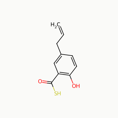 C=CCc1ccc(O)c(C(=O)S)c1